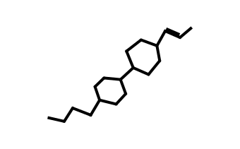 C/C=C/C1CCC(C2CCC(CCCC)CC2)CC1